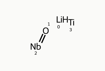 [LiH].[O]=[Nb].[Ti]